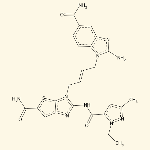 CCn1nc(C)cc1C(=O)Nc1nc2cc(C(N)=O)sc2n1C/C=C/Cn1c(N)nc2cc(C(N)=O)ccc21